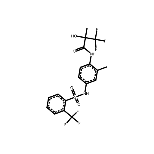 Cc1cc(NS(=O)(=O)c2ccccc2C(F)(F)F)ccc1NC(=O)C(C)(O)C(F)(F)F